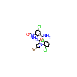 NCc1cc(Cl)cc(N(N)C=O)c1NC(=O)c1cc(Br)cn1-c1c(Cl)cccc1Cl